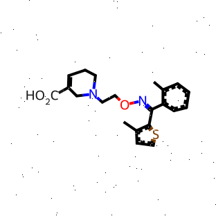 Cc1ccccc1C(=NOCCN1CCC=C(C(=O)O)C1)c1sccc1C